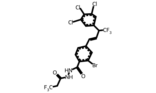 O=C(CC(F)(F)F)NNC(=O)c1ccc(/C=C/C(c2cc(Cl)c(Cl)c(Cl)c2)C(F)(F)F)cc1Br